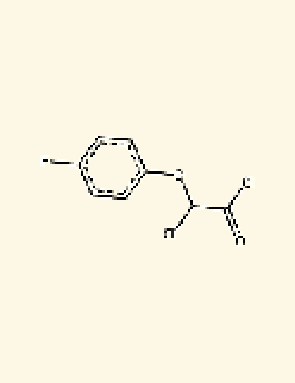 O=C(Cl)C(Cl)Oc1ccc(F)cc1